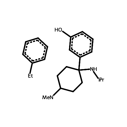 CCc1ccccc1.CNC1CCC(NC(C)C)(c2cccc(O)c2)CC1